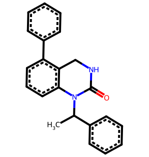 CC(c1ccccc1)N1C(=O)NCc2c(-c3ccccc3)cccc21